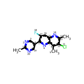 Cc1ncc(-c2nc3c(C)c(Cl)c(C)nc3cc2F)cn1